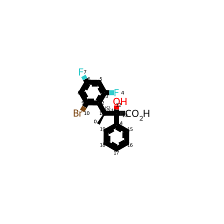 C[C@@H](c1c(F)cc(F)cc1Br)C(O)(C(=O)O)c1ccccc1